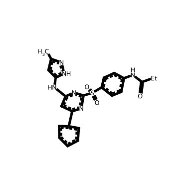 CCC(=O)Nc1ccc(S(=O)(=O)c2nc(Nc3cc(C)n[nH]3)cc(-c3ccccc3)n2)cc1